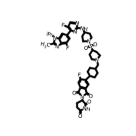 Cc1nc2c(F)cc(-c3nc(NC4CCN(S(=O)(=O)C5CCN(CC6CCC(c7cc8c(cc7F)C(=O)N(C7CCC(=O)NC7=O)C8=O)CC6)CC5)CC4)ncc3F)cc2n1C(C)C